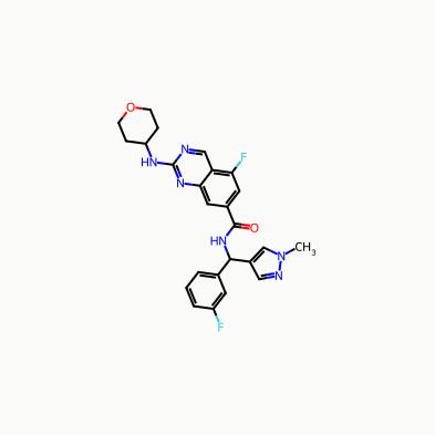 Cn1cc(C(NC(=O)c2cc(F)c3cnc(NC4CCOCC4)nc3c2)c2cccc(F)c2)cn1